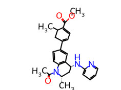 COC(=O)C1=CC=C(c2ccc3c(c2)[C@H](Nc2ccccn2)C[C@H](C)N3C(C)=O)CC1C